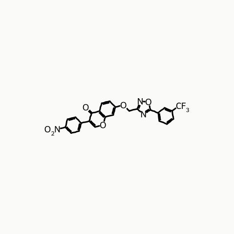 O=c1c(-c2ccc([N+](=O)[O-])cc2)coc2cc(OCc3noc(-c4cccc(C(F)(F)F)c4)n3)ccc12